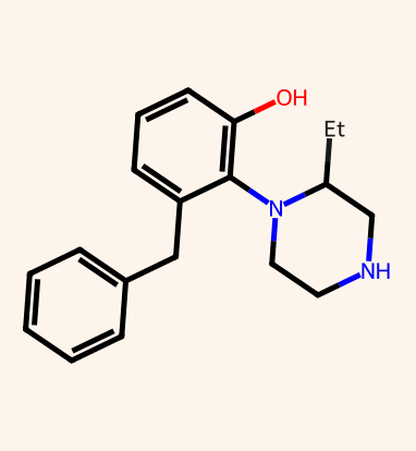 CCC1CNCCN1c1c(O)cccc1Cc1ccccc1